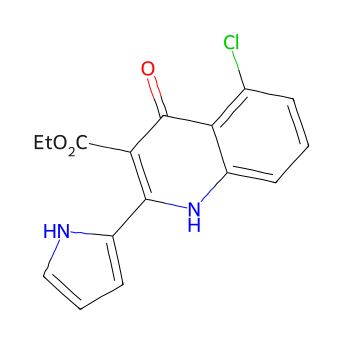 CCOC(=O)c1c(-c2ccc[nH]2)[nH]c2cccc(Cl)c2c1=O